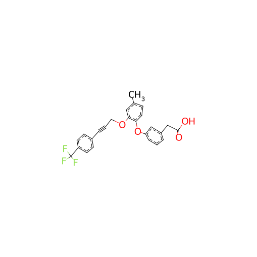 Cc1ccc(Oc2cccc(CC(=O)O)c2)c(OCC#Cc2ccc(C(F)(F)F)cc2)c1